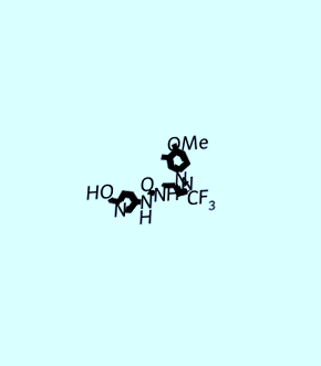 COc1ccc(-n2nc(C(F)(F)F)cc2CNC(=O)Nc2ccc(CO)nc2)cc1C